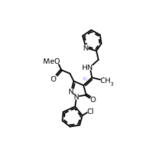 COC(=O)CC1=NN(c2ccccc2Cl)C(=O)/C1=C(\C)NCc1ccccn1